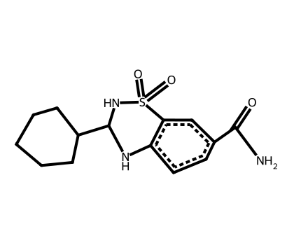 NC(=O)c1ccc2c(c1)S(=O)(=O)NC(C1CCCCC1)N2